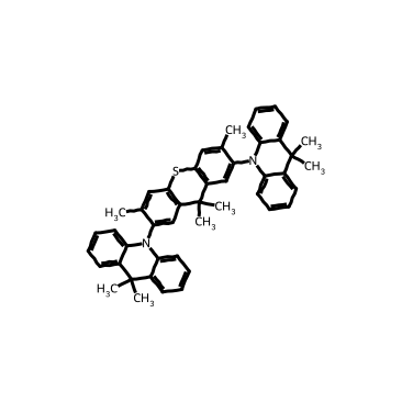 Cc1cc2c(cc1N1c3ccccc3C(C)(C)c3ccccc31)C(C)(C)c1cc(N3c4ccccc4C(C)(C)c4ccccc43)c(C)cc1S2